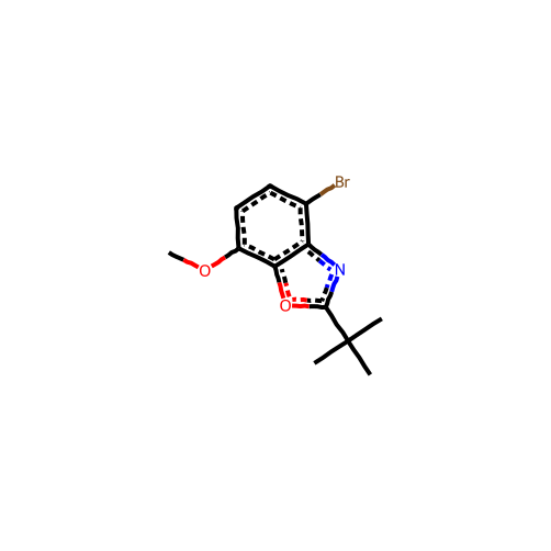 COc1ccc(Br)c2nc(C(C)(C)C)oc12